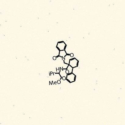 COC(=O)C(NC(=O)C1(CN2C(=O)c3ccccc3C2=O)C=CC=CC1c1ccccc1)C(C)C